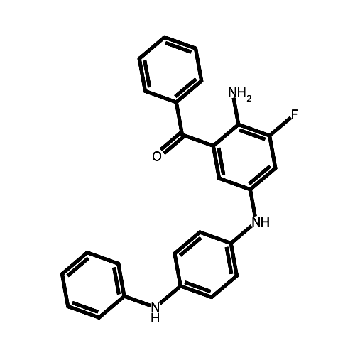 Nc1c(F)cc(Nc2ccc(Nc3ccccc3)cc2)cc1C(=O)c1ccccc1